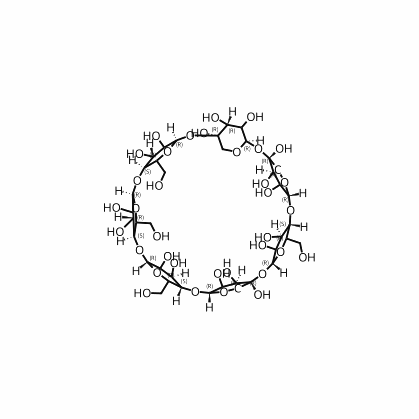 OCC1O[C@@H]2O[C@@H]3C(CO)O[C@H](O[C@]4(O)CO[C@H](O[C@]5(O)CO[C@H](O[C@@H]6C(CO)O[C@H](O[C@]7(O)CO[C@H](O[C@@H]8C(CO)O[C@H](O[C@H]1[C@H](O)C2O)C(O)[C@H]8O)C(O)[C@H]7O)C(O)[C@H]6O)C(O)[C@H]5O)C(O)[C@H]4O)C(O)[C@H]3O